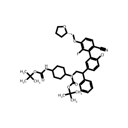 CC(C)(C)OC(=O)NC1CCC(N(CC(c2ccccc2)c2ccc(Cl)c(-c3c(C#N)ccc(OC[C@@H]4CCCO4)c3F)c2)C(=O)OC(C)(C)C)CC1